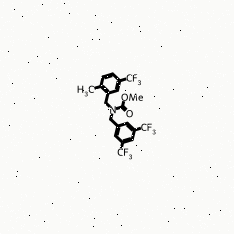 COC(=O)N(Cc1cc(C(F)(F)F)cc(C(F)(F)F)c1)Cc1cc(C(F)(F)F)ccc1C